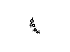 CC(C)(c1cc(F)cc(Sc2ccc3c(c2)OCC=C3c2ccc(F)cc2)c1)C(F)(F)F